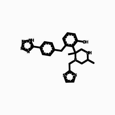 CC1CN(Cc2nccs2)C(C)(c2c(O)cccc2Cc2ccc(-c3nnn[nH]3)cc2)CN1